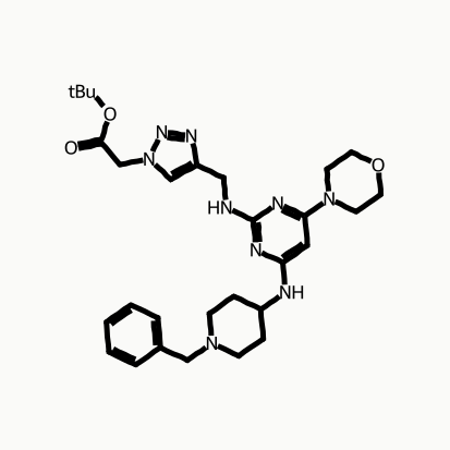 CC(C)(C)OC(=O)Cn1cc(CNc2nc(NC3CCN(Cc4ccccc4)CC3)cc(N3CCOCC3)n2)nn1